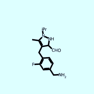 CC1=C(Cc2ccc(CN)cc2F)C(C=O)NN1C(C)C